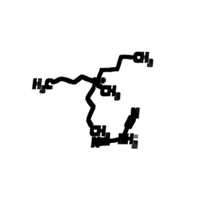 CCCC[N+](C)(CCCC)CCCC.N#C[BH2-]C#N